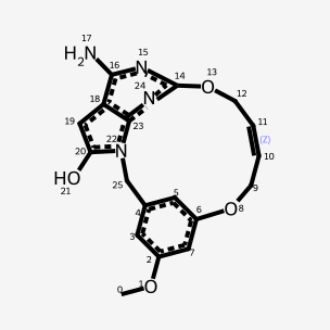 COc1cc2cc(c1)OC/C=C\COc1nc(N)c3cc(O)n(c3n1)C2